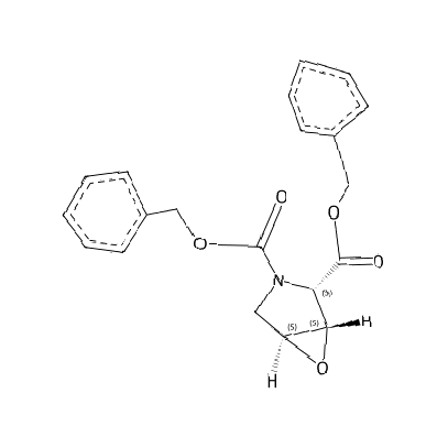 O=C(OCc1ccccc1)[C@@H]1[C@@H]2O[C@H]2CN1C(=O)OCc1ccccc1